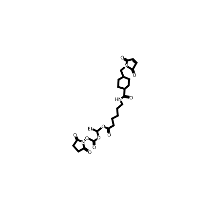 CCC(OC(=O)CCCCCNC(=O)C1CCC(CN2C(=O)C=CC2=O)CC1)OC(=O)ON1C(=O)CCC1=O